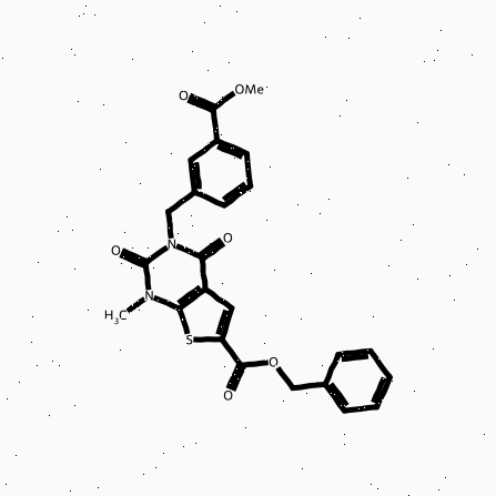 COC(=O)c1cccc(Cn2c(=O)c3cc(C(=O)OCc4ccccc4)sc3n(C)c2=O)c1